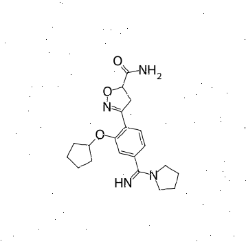 N=C(c1ccc(C2=NOC(C(N)=O)C2)c(OC2CCCC2)c1)N1CCCC1